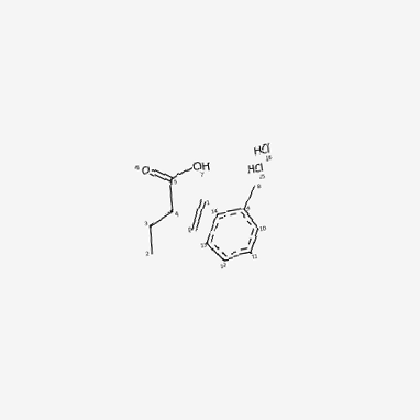 C=C.CCCC(=O)O.Cc1ccccc1.Cl.Cl